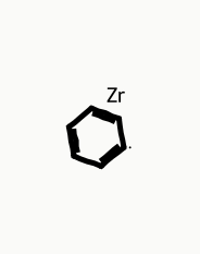 [Zr].[c]1ccccc1